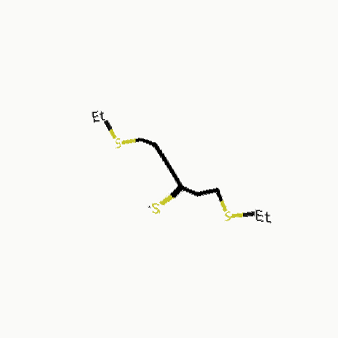 CCSCC([S])CSCC